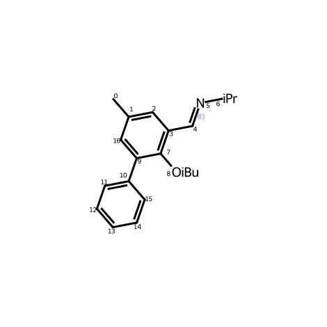 Cc1cc(/C=N/C(C)C)c(OCC(C)C)c(-c2ccccc2)c1